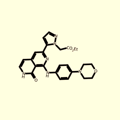 CCOC(=O)Cn1nccc1-c1cc2cc[nH]c(=O)c2c(Nc2ccc(N3CCOCC3)cc2)n1